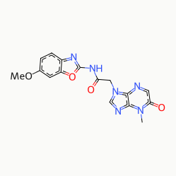 COc1ccc2nc(NC(=O)Cn3cnc4c3ncc(=O)n4C)oc2c1